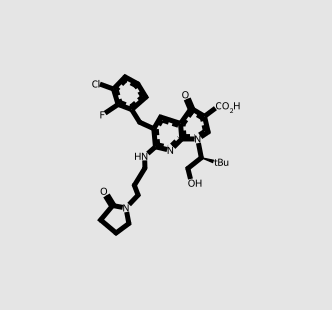 CC(C)(C)[C@@H](CO)n1cc(C(=O)O)c(=O)c2cc(Cc3cccc(Cl)c3F)c(NCCCN3CCCC3=O)nc21